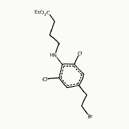 CCOC(=O)CCCNc1c(Cl)cc(CCBr)cc1Cl